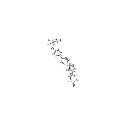 CC(C)(COc1ccc(-c2ccc(-c3ncc(-c4ccc(F)cc4)[nH]3)cn2)cc1)C(=O)O